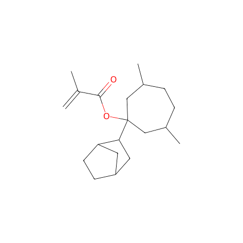 C=C(C)C(=O)OC1(C2CC3CCC2C3)CC(C)CCC(C)C1